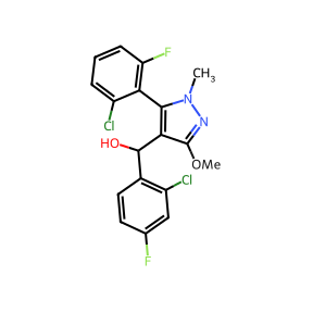 COc1nn(C)c(-c2c(F)cccc2Cl)c1C(O)c1ccc(F)cc1Cl